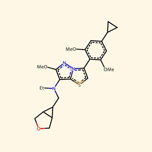 CCN(CC1C2COCC21)c1c(OC)nn2c(-c3c(OC)cc(C4CC4)cc3OC)csc12